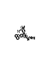 C=CC(=O)N1CCN(c2nc(OCC3(CN4CC(N(C)C)C4)CC3)nc3c2CCN(c2cccc4cccc(C)c24)C3)CC1CC#N